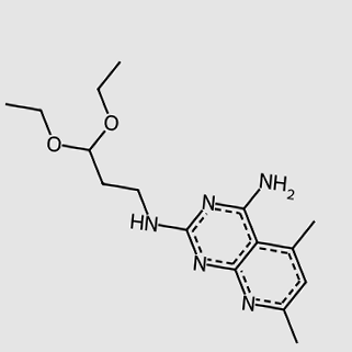 CCOC(CCNc1nc(N)c2c(C)cc(C)nc2n1)OCC